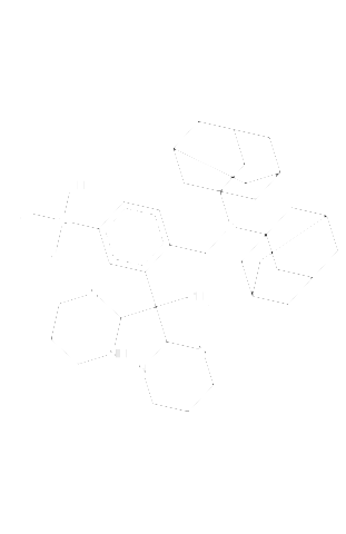 C[Si](C)(C)c1ccc(CP(C23CC4CC(CC(C4)C2)C3)C23CC4CC(CC(C4)C2)C3)c(C(P)(C2NCCCN2)C2NCCCN2)c1